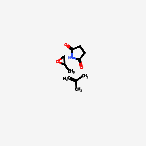 C=C(C)C.CC1CO1.O=C1CCC(=O)N1